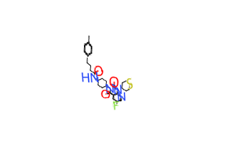 Cc1ccc(CCCC(=O)NC2CCC(n3c(=O)c4cc(F)cnc4n(C4CCSCC4)c3=O)CC2)cc1